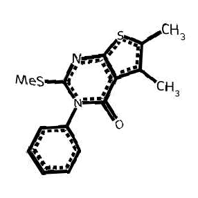 CSc1nc2sc(C)c(C)c2c(=O)n1-c1ccccc1